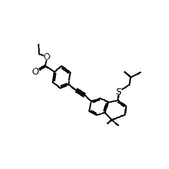 CCOC(=O)c1ccc(C#Cc2ccc3c(c2)C(SCC(C)C)=CCC3(C)C)cc1